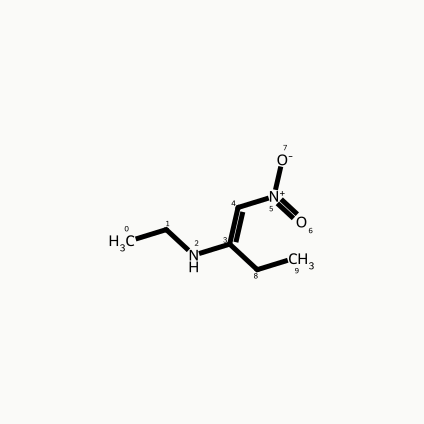 CCNC(=C[N+](=O)[O-])CC